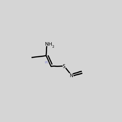 C=NS/C=C(/C)N